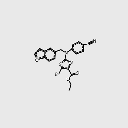 CCOC(=O)c1nc(N(Cc2ccc3occc3c2)c2ccc(C#N)cc2)sc1Br